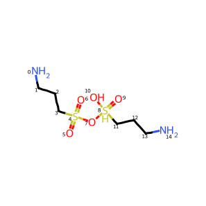 NCCCS(=O)(=O)O[SH](=O)(O)CCCN